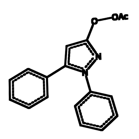 CC(=O)OOc1cc(-c2ccccc2)n(-c2ccccc2)n1